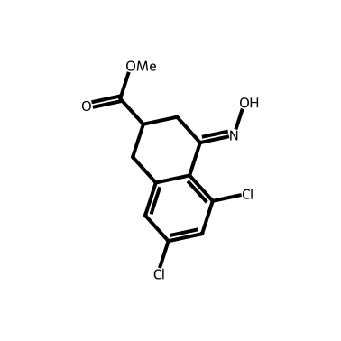 COC(=O)C1CC(=NO)c2c(Cl)cc(Cl)cc2C1